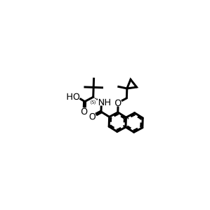 CC1(COc2c(C(=O)N[C@H](C(=O)O)C(C)(C)C)ccc3ccccc23)CC1